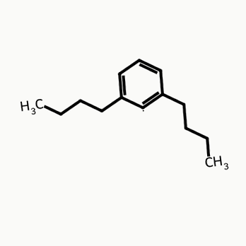 CCCCc1[c]c(CCCC)ccc1